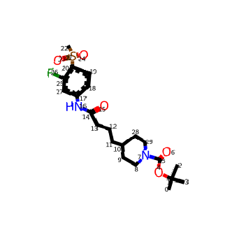 CC(C)(C)OC(=O)N1CCC(CCCC(=O)Nc2ccc(S(C)(=O)=O)c(F)c2)CC1